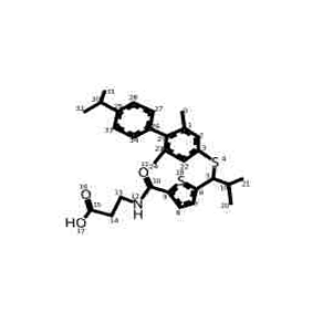 Cc1cc(SC(c2ccc(C(=O)NCCC(=O)O)s2)C(C)C)cc(C)c1-c1ccc(C(C)C)cc1